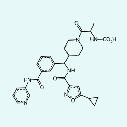 CC(NC(=O)O)C(=O)N1CCC(C(NC(=O)c2cc(C3CC3)on2)c2cccc(C(=O)Nc3cccnc3)c2)CC1